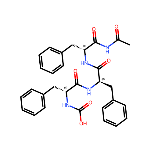 CC(=O)NC(=O)[C@@H](Cc1ccccc1)NC(=O)[C@@H](Cc1ccccc1)NC(=O)[C@@H](Cc1ccccc1)NC(=O)O